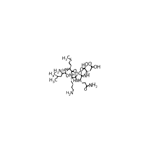 CSCC[C@H](NC(=O)[C@@H](N)CC(C)C)C(=O)N[C@@H](CCCCN)C(=O)N[C@@H](CCC(N)=O)C(=O)N[C@@H](CC(=O)O)C(=O)O